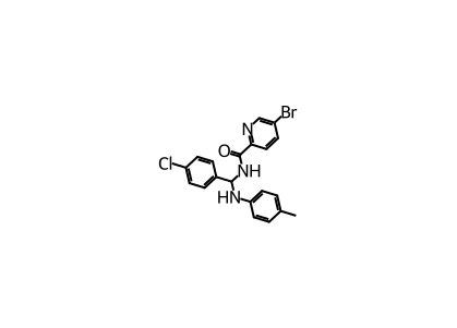 Cc1ccc(NC(NC(=O)c2ccc(Br)cn2)c2ccc(Cl)cc2)cc1